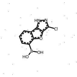 OB(O)c1cccc2c1oc1c(Cl)n[nH]c12